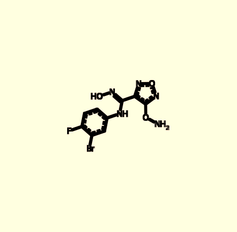 NOc1nonc1/C(=N/O)Nc1ccc(F)c(Br)c1